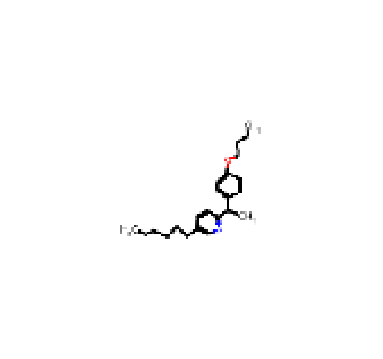 CCCCCCc1ccc(C(C)c2ccc(OCCCC)cc2)nc1